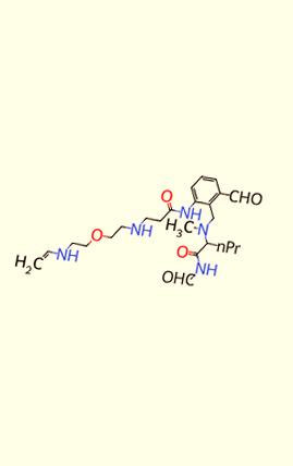 C=CNCCOCCNCCC(=O)Nc1cccc(C=O)c1CN(C)C(CCC)C(=O)NC=O